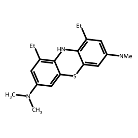 CCc1cc(NC)cc2c1Nc1c(CC)cc(N(C)C)cc1S2